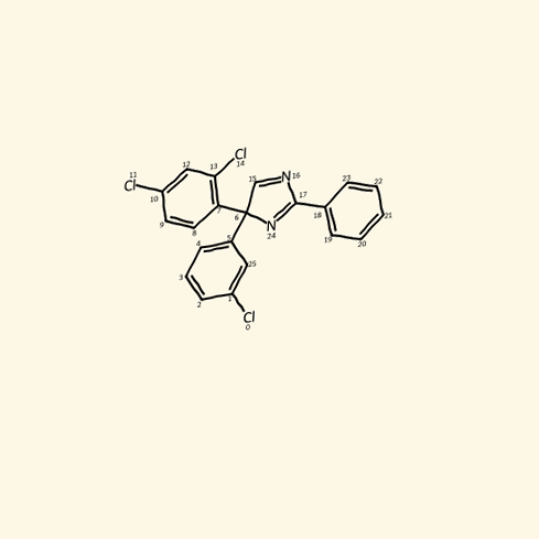 Clc1cccc(C2(c3ccc(Cl)cc3Cl)C=NC(c3ccccc3)=N2)c1